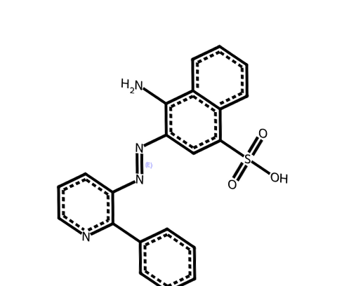 Nc1c(/N=N/c2cccnc2-c2ccccc2)cc(S(=O)(=O)O)c2ccccc12